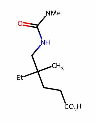 CCC(C)(CCC(=O)O)CNC(=O)NC